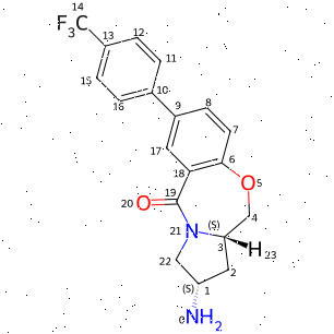 N[C@H]1C[C@H]2COc3ccc(-c4ccc(C(F)(F)F)cc4)cc3C(=O)N2C1